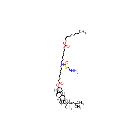 CCCCCC/C=C\COC(=O)CCCCCCCN(CCCCCCCC(=O)O[C@H]1CC[C@@]2(C)C(=CC[C@H]3[C@@H]4CC[C@H]([C@H](C)CCCC(C)C)[C@@]4(C)CC[C@@H]32)C1)C(=O)SCCN